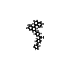 c1ccc(-c2ccc(Nc3ccc(-c4cc(-c5cccc6ccccc56)c5ccccc5c4)cc3)cc2)cc1